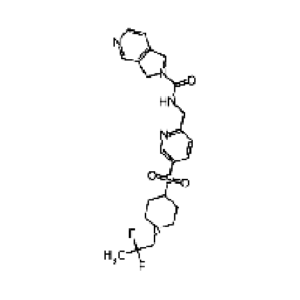 CC(F)(F)CN1CCC(S(=O)(=O)c2ccc(CNC(=O)N3Cc4ccncc4C3)nc2)CC1